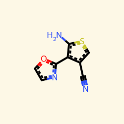 N#Cc1csc(N)c1-c1ncco1